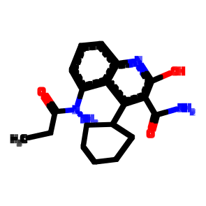 CCC(=O)N(N)c1cccc2nc(O)c(C(N)=O)c(C3CCCCC3)c12